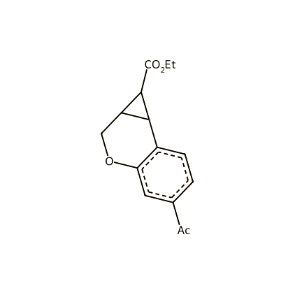 CCOC(=O)C1C2COc3cc(C(C)=O)ccc3C21